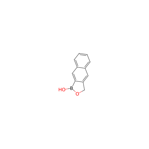 OB1OCc2cc3ccccc3cc21